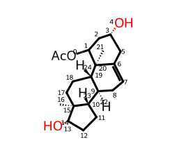 CC(=O)OC1C[C@H](O)CC2=CC[C@H]3[C@@H]4CC[C@H](O)[C@@]4(C)CC[C@@H]3[C@]21C